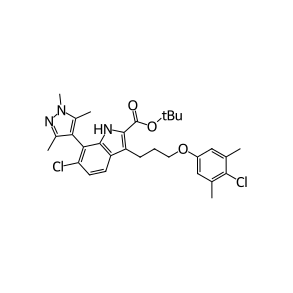 Cc1cc(OCCCc2c(C(=O)OC(C)(C)C)[nH]c3c(-c4c(C)nn(C)c4C)c(Cl)ccc23)cc(C)c1Cl